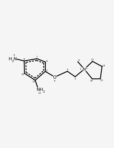 C[N+]1(CCOc2ccc(N)cc2N)CCCC1